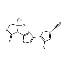 CC1(C)COC(=O)N1c1nc(-c2sc(C#N)cc2Br)cs1